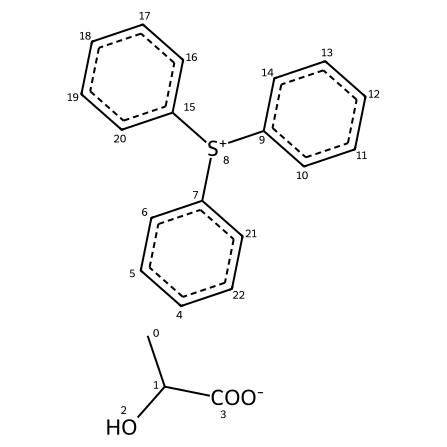 CC(O)C(=O)[O-].c1ccc([S+](c2ccccc2)c2ccccc2)cc1